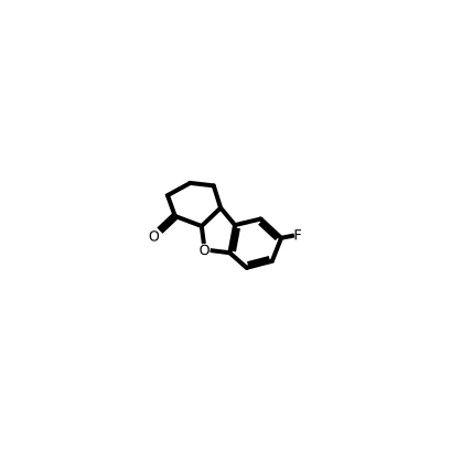 O=C1CCCC2c3cc(F)ccc3OC12